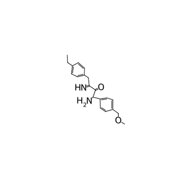 CCc1ccc(CC(=N)C(=O)C(N)c2ccc(COC)cc2)cc1